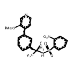 COc1cnccc1-c1cccc(C(C)(C)NS(=O)(=O)c2ccccc2[N+](=O)[O-])c1